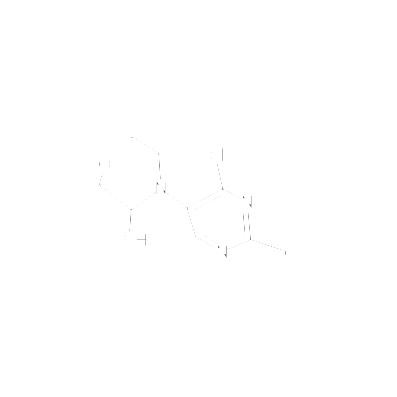 CC1COCCN1c1cnc(Cl)nc1Cl